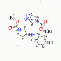 CC(C)(C)OC(=O)N1CCC(NCc2ccc(Cl)cc2)C1.CC(C)(C)OC(=O)N1CC[C@@H](N)C1